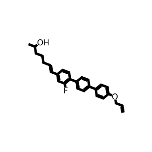 C=CCOc1ccc(-c2ccc(-c3ccc(/C=C/CCCC(C)O)cc3F)cc2)cc1